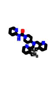 Cc1cccnc1CN(Cc1ncccc1C)C1CCN(C(=O)Nc2ccccn2)CC1